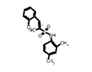 Cc1ccc(NS(=O)(=O)/C(C#N)=C/c2ccccc2Cl)c(C)c1